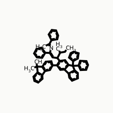 CCC(C)C(/C=C(\N=C(/C)c1ccccc1)c1ccccc1)c1cc2c(cc1-c1ccc3c(c1)-c1ccccc1C3(C)C)-c1ccccc1C2(c1ccccc1)c1ccccc1